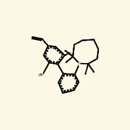 C=Cc1cc(C(C)C)c(-c2ccccc2P2C(C)(C)CCCCCC2(C)C)c(C(C)C)c1